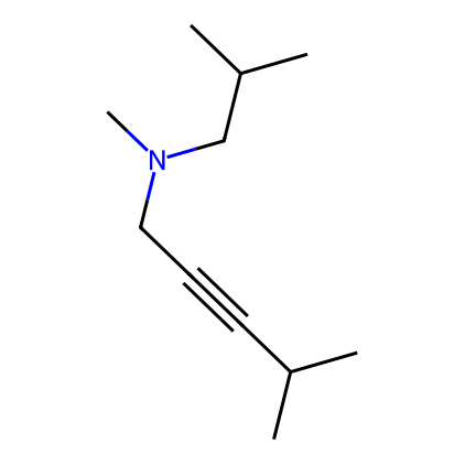 CC(C)C#CCN(C)CC(C)C